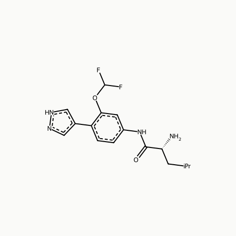 CC(C)C[C@@H](N)C(=O)Nc1ccc(-c2cn[nH]c2)c(OC(F)F)c1